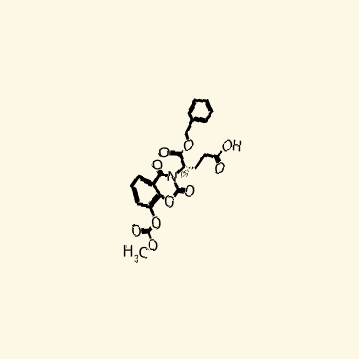 COC(=O)Oc1cccc2c(=O)n([C@@H](CCC(=O)O)C(=O)OCc3ccccc3)c(=O)oc12